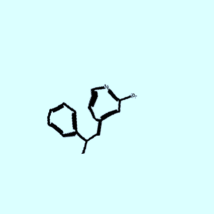 CC(C)c1cc(CC(C)c2ccccc2)ccn1